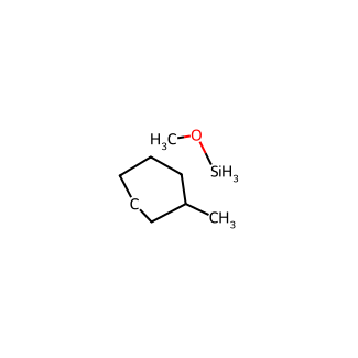 CC1CCCCC1.CO[SiH3]